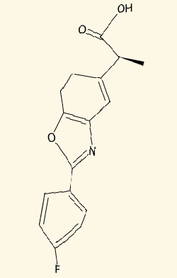 C[C@H](C(=O)O)C1=Cc2nc(-c3ccc(F)cc3)oc2CC1